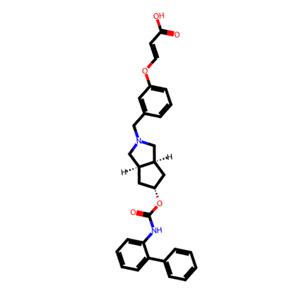 O=C(O)/C=C/Oc1cccc(CN2C[C@H]3C[C@H](OC(=O)Nc4ccccc4-c4ccccc4)C[C@H]3C2)c1